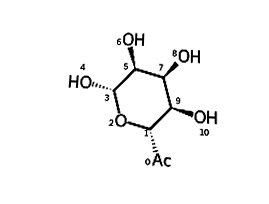 CC(=O)[C@@H]1O[C@H](O)[C@@H](O)[C@@H](O)[C@H]1O